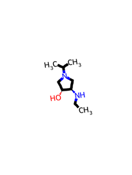 CCN[C@@H]1CN(C(C)C)C[C@H]1O